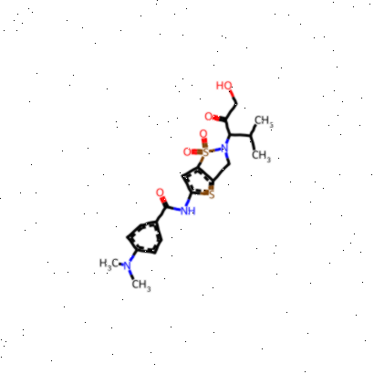 CC(C)C(C(=O)CO)N1Cc2sc(NC(=O)c3ccc(N(C)C)cc3)cc2S1(=O)=O